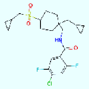 O=C(NCC1(CC2CC2)CCC(S(=O)(=O)CC2CC2)CC1)c1cc(F)c(Cl)cc1F